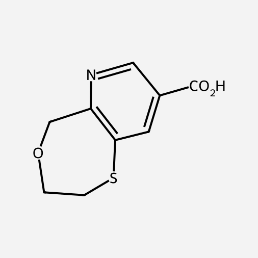 O=C(O)c1cnc2c(c1)SCCOC2